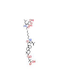 C=C(C)[C@@H]1CC[C@]2(C(=O)NCCCCCCCC(=O)N[C@@H](CC(C)C)[C@@H](O)CC(=O)O)CC[C@]3(C)C(CCC4[C@@]5(C)CC[C@H](OC(=O)CC(C)(C)C(=O)O)C(C)(C)C5CC[C@]43C)C12